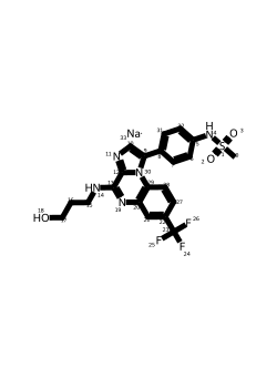 CS(=O)(=O)Nc1ccc(-c2cnc3c(NCCCO)nc4cc(C(F)(F)F)ccc4n23)cc1.[Na]